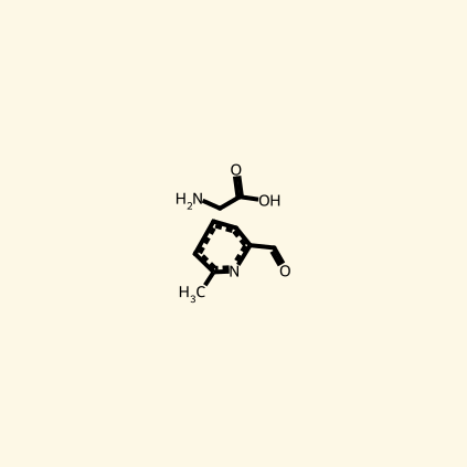 Cc1cccc(C=O)n1.NCC(=O)O